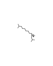 CC(C)CCCCCCCN(C)CC(C)C